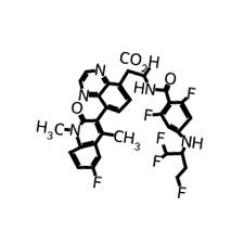 Cc1c(-c2ccc(CC(NC(=O)c3c(F)cc(NC(CCF)C(F)F)cc3F)C(=O)O)c3nccnc23)c(=O)n(C)c2ccc(F)cc12